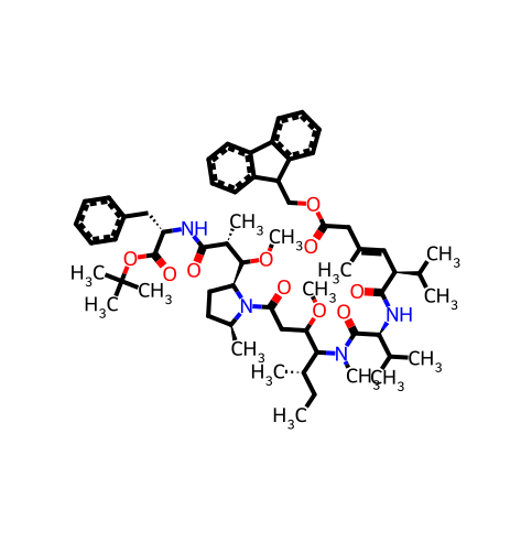 CC[C@H](C)C(C(CC(=O)N1[C@@H](C)CC[C@H]1C(OC)[C@@H](C)C(=O)N[C@@H](Cc1ccccc1)C(=O)OC(C)(C)C)OC)N(C)C(=O)[C@@H](NC(=O)[C@@H](/C=C(\C)CC(=O)OCC1c2ccccc2-c2ccccc21)C(C)C)C(C)C